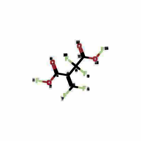 O=C(OF)C(=C(F)F)C(F)(F)C(=O)OF